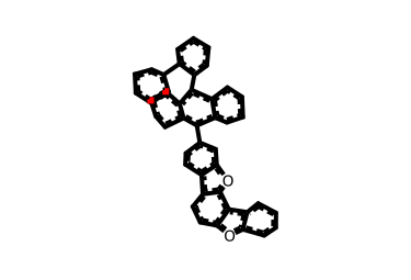 c1ccc(-c2ccccc2-c2c3ccccc3c(-c3ccc4c(c3)oc3c4ccc4oc5ccccc5c43)c3ccccc23)cc1